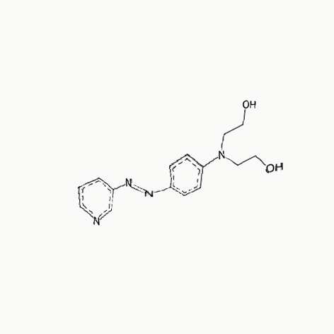 OCCN(CCO)c1ccc(N=Nc2cccnc2)cc1